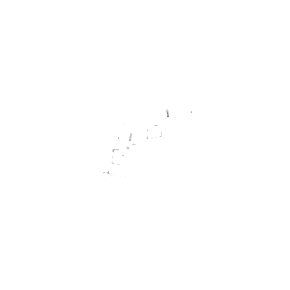 CC(C)(C)OC(=O)N1CC(OS(=O)(=O)C(F)(F)C(F)(F)C(F)(F)C(F)(F)F)C1